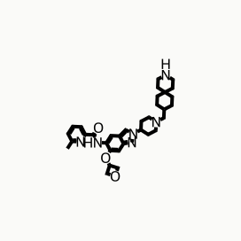 Cc1cccc(C(=O)Nc2cc3cn(C4CCN(CC5CCC6(CCNCC6)CC5)CC4)nc3cc2OC2COC2)n1